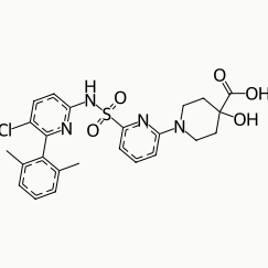 Cc1cccc(C)c1-c1nc(NS(=O)(=O)c2cccc(N3CCC(O)(C(=O)O)CC3)n2)ccc1Cl